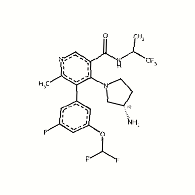 Cc1ncc(C(=O)NC(C)C(F)(F)F)c(N2CC[C@H](N)C2)c1-c1cc(F)cc(OC(F)F)c1